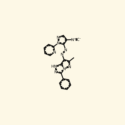 [C-]#[N+]c1cnn(-c2ccccn2)c1/N=N/c1c(C)nn2c(-c3ccccc3)n[nH]c12